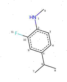 CNc1ccc(C(C)C)cc1F